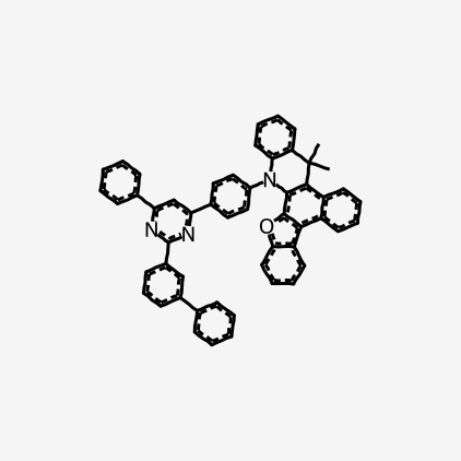 CC1(C)c2ccccc2N(c2ccc(-c3cc(-c4ccccc4)nc(-c4cccc(-c5ccccc5)c4)n3)cc2)c2c1c1ccccc1c1c2oc2ccccc21